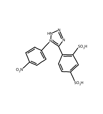 O=[N+]([O-])c1ccc(-[n+]2[nH]nnc2-c2ccc(S(=O)(=O)O)cc2S(=O)(=O)O)cc1